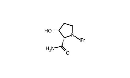 CC(C)N1CC[C@@H](O)[C@H]1C(N)=O